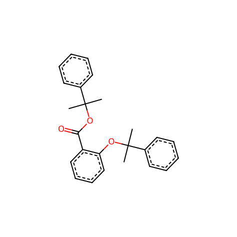 CC(C)(OC(=O)c1ccccc1OC(C)(C)c1ccccc1)c1ccccc1